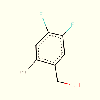 CC(C)c1cc(F)c(F)cc1CO